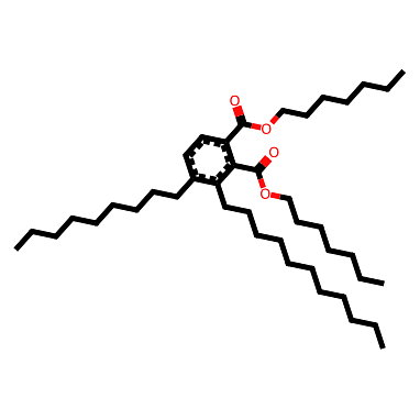 CCCCCCCCCCCc1c(CCCCCCCCC)ccc(C(=O)OCCCCCCC)c1C(=O)OCCCCCCC